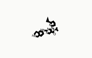 CC(C)n1c(=O)c2cnc(Nc3ccc4c(c3)CCNC4)nc2n1-c1cccc(C2CC2)n1